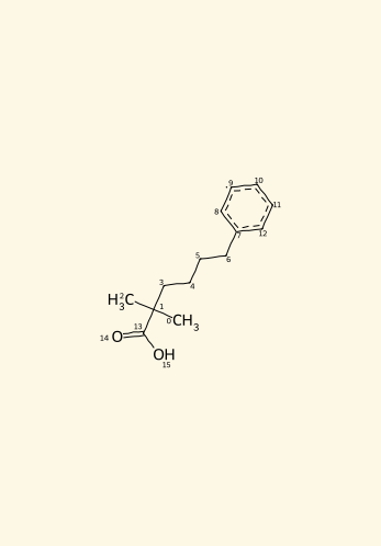 CC(C)(CCCCc1c[c]ccc1)C(=O)O